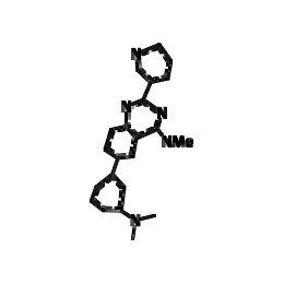 CNc1nc(-c2cccnc2)nc2ccc(-c3cccc(N(C)C)c3)cc12